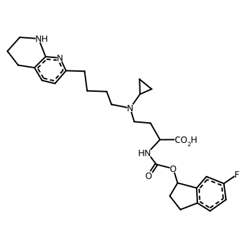 O=C(NC(CCN(CCCCc1ccc2c(n1)NCCC2)C1CC1)C(=O)O)OC1CCc2ccc(F)cc21